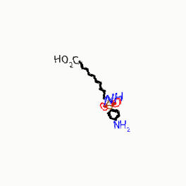 Nc1ccc(S(=O)(=O)NCCCCCCCC/C=C/C(=O)O)cc1